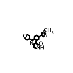 Cn1cc(-c2ccc3c(C4CCOCC4)nc4cc[nH]c(=O)c4c3c2)cn1